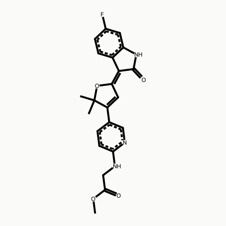 COC(=O)CNc1ccc(C2=C/C(=C3\C(=O)Nc4cc(F)ccc43)OC2(C)C)cn1